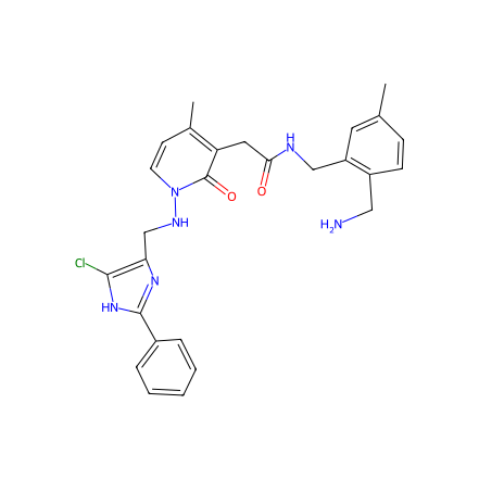 Cc1ccc(CN)c(CNC(=O)Cc2c(C)ccn(NCc3nc(-c4ccccc4)[nH]c3Cl)c2=O)c1